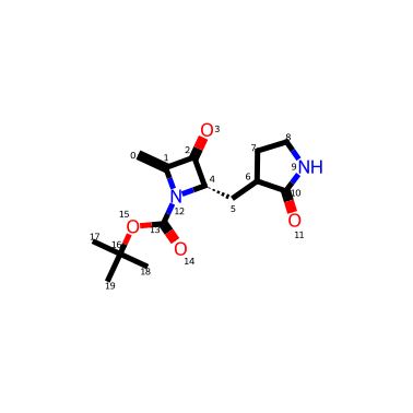 C=C1C(=O)[C@H](CC2CCNC2=O)N1C(=O)OC(C)(C)C